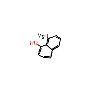 Oc1cccc2ccccc12.[MgH2]